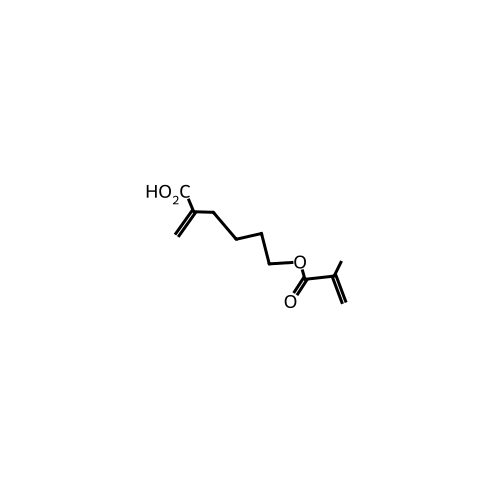 C=C(C)C(=O)OCCCCC(=C)C(=O)O